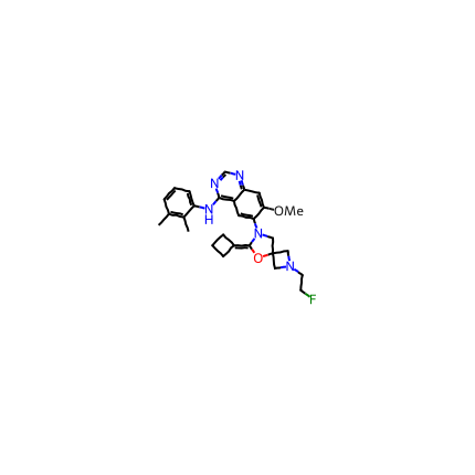 COc1cc2ncnc(Nc3cccc(C)c3C)c2cc1N1CC2(CN(CCF)C2)OC1=C1CCC1